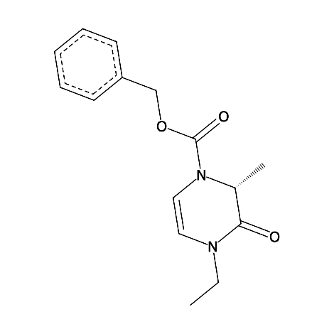 CCN1C=CN(C(=O)OCc2ccccc2)[C@H](C)C1=O